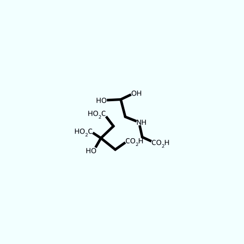 O=C(O)CC(O)(CC(=O)O)C(=O)O.O=C(O)CNCC(O)O